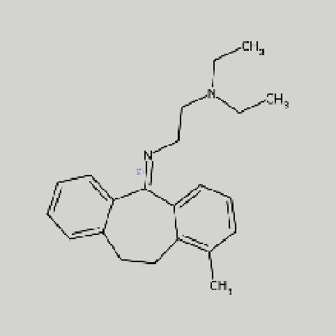 CCN(CC)CC/N=C1/c2ccccc2CCc2c(C)cccc21